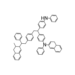 CC1CC2C=CC=CC2=CC1C(Cc1ccc(CC(c2ccc(Nc3ccccc3)cc2)c2ccc(N(C3=CCC4C=CC=CC4=C3)c3ccccc3)cc2)cc1)c1ccccc1